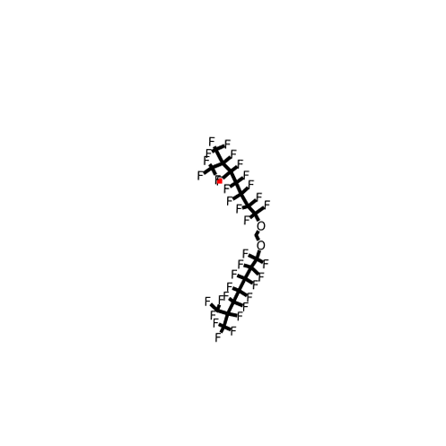 FC(F)(F)C(F)(C(F)(F)F)C(F)(F)C(F)(F)C(F)(F)C(F)(F)C(F)(F)OCOC(F)(F)C(F)(F)C(F)(F)C(F)(F)C(F)(F)C(F)(C(F)(F)F)C(F)(F)F